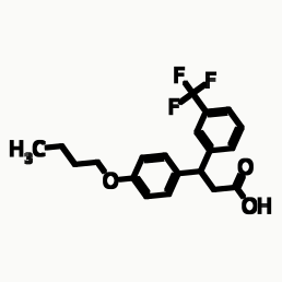 CCCCOc1ccc(C(CC(=O)O)c2cccc(C(F)(F)F)c2)cc1